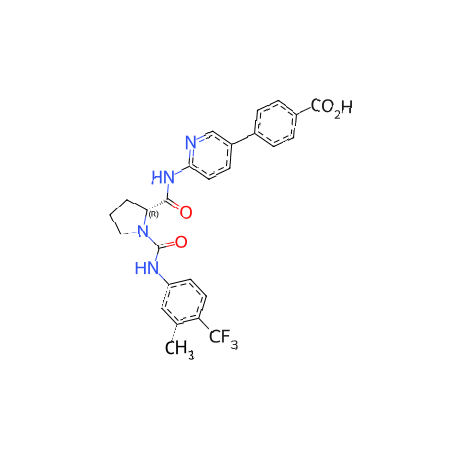 Cc1cc(NC(=O)N2CCC[C@@H]2C(=O)Nc2ccc(-c3ccc(C(=O)O)cc3)cn2)ccc1C(F)(F)F